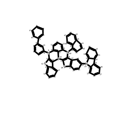 c1ccc(-c2cccc(N3c4cccc5c4B(c4sc6ccc(-n7c8ccccc8c8ccccc87)cc6c4N5c4cccc5ccccc45)c4c3sc3ccccc43)c2)cc1